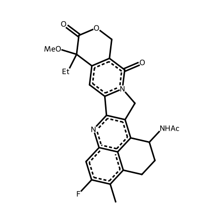 CCC1(OC)C(=O)OCc2c1cc1n(c2=O)Cc2c-1nc1cc(F)c(C)c3c1c2C(NC(C)=O)CC3